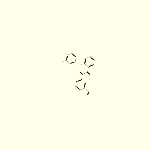 C=Cc1cccc(C(=O)C(=O)c2ccccc2Oc2ccc(C(=O)O)c(O)c2)c1